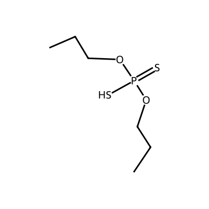 CCCOP(=S)(S)OCCC